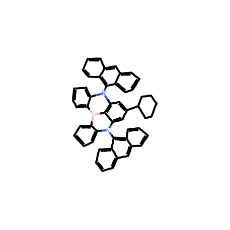 c1ccc2c(c1)B1c3ccccc3N(c3c4ccccc4cc4ccccc34)c3cc(C4CCCCC4)cc(c31)N2c1c2ccccc2cc2ccccc12